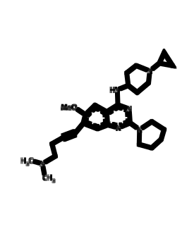 COc1cc2c(NC3CCN(C4CC4)CC3)nc(N3CCCCC3)nc2cc1C#CCCN(C)C